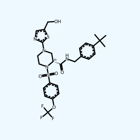 CC(C)(C)c1ccc(CNC(=O)[C@H]2CN(c3ncc(CO)s3)CCN2S(=O)(=O)c2ccc(OC(F)(F)F)cc2)cc1